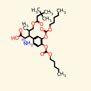 CCCCCOC(=O)Oc1ccc(C(C(C)COC(=O)CC(C)(C)C)[C@H](N)C(=O)O)cc1OC(=O)OCCCCC